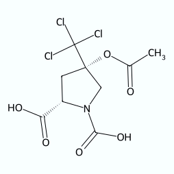 CC(=O)O[C@@]1(C(Cl)(Cl)Cl)C[C@@H](C(=O)O)N(C(=O)O)C1